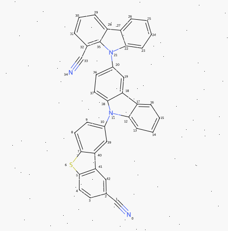 N#Cc1ccc2sc3ccc(-n4c5ccccc5c5cc(-n6c7ccccc7c7cccc(C#N)c76)ccc54)cc3c2c1